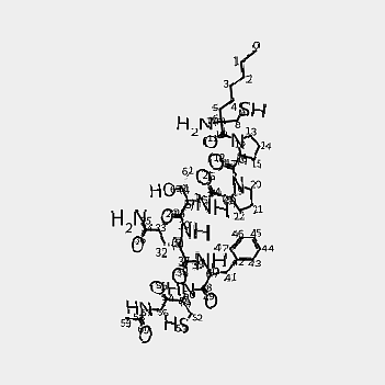 CCCCCC[C@](N)(CS)C(=O)N1CCC[C@H]1C(=O)N1CCC[C@H]1C(=O)N[C@H](C(=O)N[C@@H](CCC(N)=O)C(=O)N[C@@H](Cc1ccccc1)C(=O)N[C@@H](CS)C(=O)CNC(C)=O)[C@@H](C)O